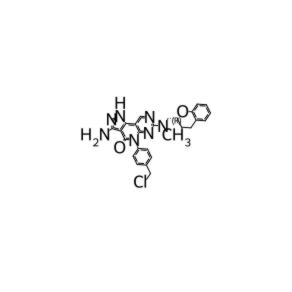 CN(C[C@H]1CCc2ccccc2O1)c1ncc2c3[nH]nc(N)c3c(=O)n(-c3ccc(CCl)cc3)c2n1